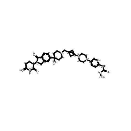 CC(C)(C)OC(=O)Nc1ccc(N2CCN(C34CC(CN5CCC(O)(c6ccc7c(c6)CN(C6CCC(=O)NC6=O)C7=O)CC5)(C3)C4)CC2)cn1